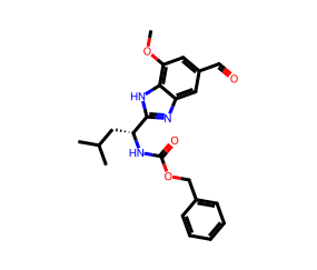 COc1cc(C=O)cc2nc([C@@H](CC(C)C)NC(=O)OCc3ccccc3)[nH]c12